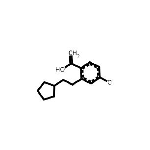 C=C(O)c1ccc(Cl)cc1CCC1CCCC1